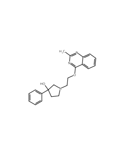 Cc1nc(OCCN2CCC(O)(c3ccccc3)C2)c2ccccc2n1